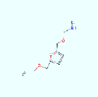 C=CCOCc1ccc(COCNCC)o1